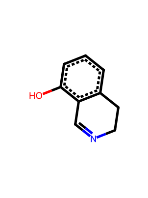 Oc1cccc2c1C=NCC2